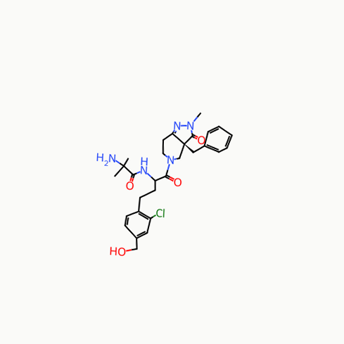 CN1N=C2CCN(C(=O)C(CCc3ccc(CO)cc3Cl)NC(=O)C(C)(C)N)C[C@@]2(Cc2ccccc2)C1=O